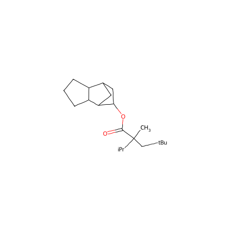 CC(C)C(C)(CC(C)(C)C)C(=O)OC1CC2CC1C1CCCC21